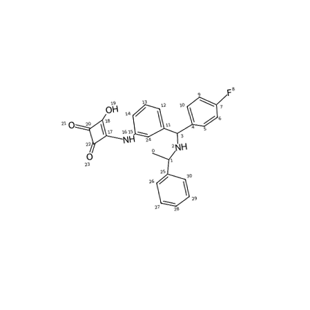 CC(NC(c1ccc(F)cc1)c1cccc(Nc2c(O)c(=O)c2=O)c1)c1ccccc1